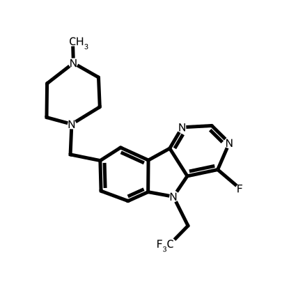 CN1CCN(Cc2ccc3c(c2)c2ncnc(F)c2n3CC(F)(F)F)CC1